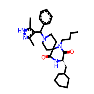 CCCCN1C(=O)[C@H](CC2CCCCC2)NC(=O)C12CCN(C(c1ccccc1)c1c(C)n[nH]c1C)CC2